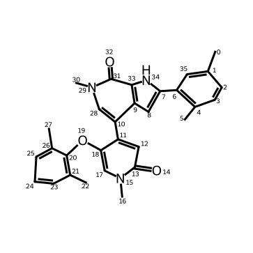 Cc1ccc(C)c(-c2cc3c(-c4cc(=O)n(C)cc4Oc4c(C)cccc4C)cn(C)c(=O)c3[nH]2)c1